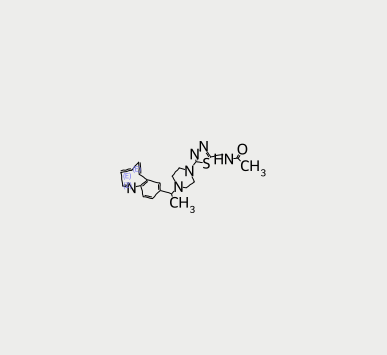 CC(=O)NCc1nnc(N2CCN(C(C)c3ccc4c(c3)/C=C/C=C/C=N\4)CC2)s1